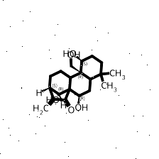 C=C1C(=O)C23C(CC[C@@H]1[C@H]2O)[C@@]1(CO)C(C[C@H]3O)C(C)(C)CC[C@@H]1O